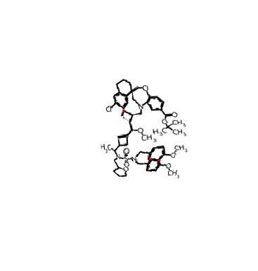 COc1ccc(CN(Cc2ccc(OC)cc2)S(=O)(=O)N(CC2CCCO2)[C@@H](C)C2C=C([C@H](OC)[C@@H]3CC[C@H]3CN3C[C@@]4(CCCc5cc(Cl)ccc54)COc4ccc(C(=O)OC(C)(C)C)cc43)C2)cc1